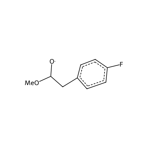 COC([O])Cc1ccc(F)cc1